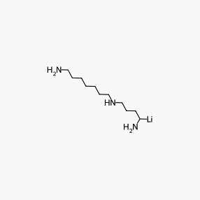 [Li][CH](N)CCCNCCCCCCCN